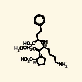 NCCCC[C@H](NC(CCc1ccccc1)C(=O)O)C(=O)N1CCC[C@H]1C(=O)O.O.O